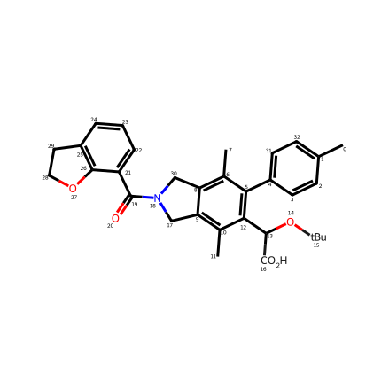 Cc1ccc(-c2c(C)c3c(c(C)c2C(OC(C)(C)C)C(=O)O)CN(C(=O)c2cccc4c2OCC4)C3)cc1